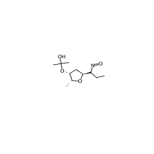 CCC(N=O)[C@@H]1C[C@@H](OC(C)(C)O)[C@@H](C)O1